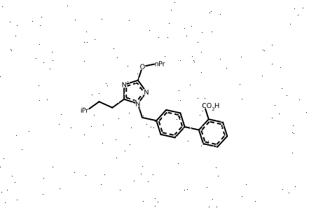 CCCOc1nc(CCC(C)C)n(Cc2ccc(-c3ccccc3C(=O)O)cc2)n1